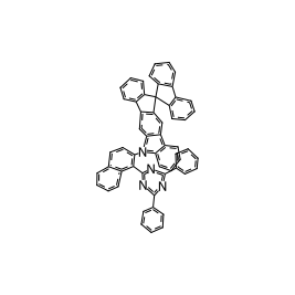 c1ccc(-c2nc(-c3ccccc3)nc(-c3c(-n4c5ccccc5c5cc6c(cc54)-c4ccccc4C64c5ccccc5-c5ccccc54)ccc4ccccc34)n2)cc1